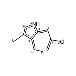 C=C(Cl)/C=c1/[nH]cc(C)/c1=C/C